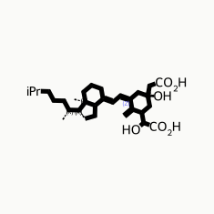 C=C1/C(=C\C=C2CCC[C@@]3(C)C2CC[C@@H]3[C@H](C)CCCC(C)C)C[C@](O)(CC(=O)O)CC1C(O)C(=O)O